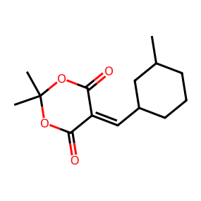 CC1CCCC(C=C2C(=O)OC(C)(C)OC2=O)C1